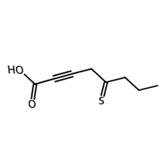 CCCC(=S)CC#CC(=O)O